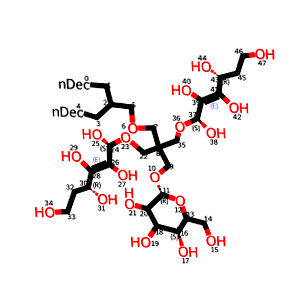 CCCCCCCCCCCC(CCCCCCCCCCC)COCC(CO[C@@H]1OC(CO)[C@@H](O)C(O)C1O)(CO[C@H](O)/C(O)=C(\O)[C@H](O)CCO)CO[C@H](O)/C(O)=C(\O)[C@H](O)CCO